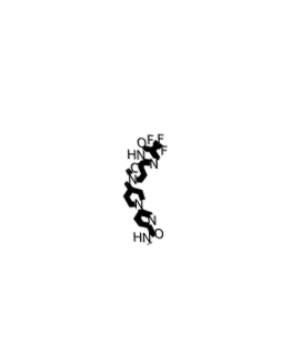 CNC(=O)c1ccc(N2CCC(CN3CCC(c4ncc(C(F)(F)F)c(=O)[nH]4)CC3)CC2)cn1